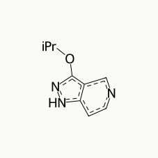 CC(C)Oc1n[nH]c2ccncc12